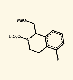 CCOC(=O)N1CCc2c(F)cccc2C1COC